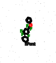 CCCCC[C@H]1CC[C@H](C2(F)C(F)C=C(C(F)(F)Oc3ccccc3)CC2F)CC1